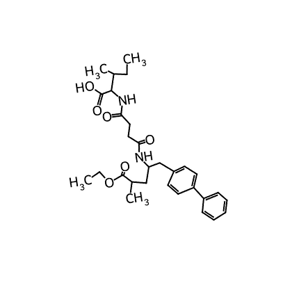 CCOC(=O)C(C)CC(Cc1ccc(-c2ccccc2)cc1)NC(=O)CCC(=O)NC(C(=O)O)C(C)CC